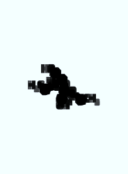 Cc1cccc(COC(=O)Nc2cc(Oc3ccc(-c4ccc(O)cc4)c(NC(=O)OCc4cccc(C)c4)c3)ccc2-c2ccc(O)cc2)c1